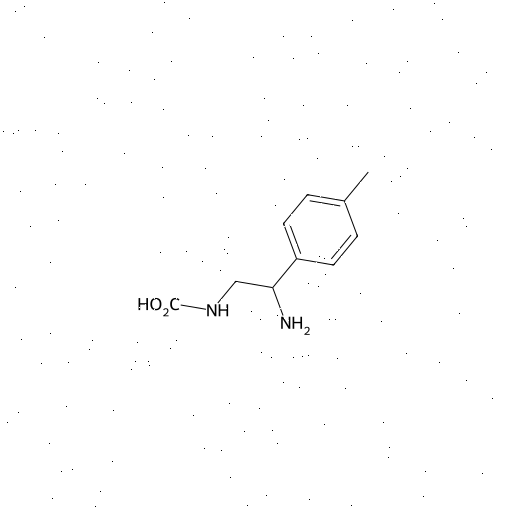 Cc1ccc(C(N)CNC(=O)O)cc1